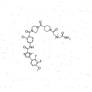 COc1ccc(-c2cnc(C(=O)Nc3ccc(C(=O)N4CCN(C(=O)C5CCN(C(=O)C[N+](C)(C)CC(N)=O)CC5)CC4)c(Cl)c3)n2C)c(F)c1F